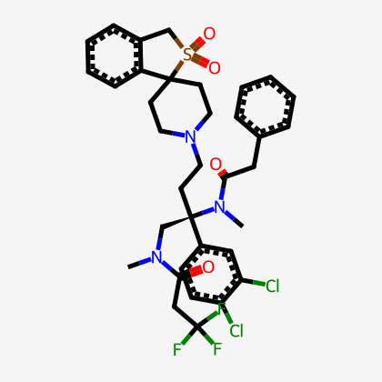 CN(C[C@](CCN1CCC2(CC1)c1ccccc1CS2(=O)=O)(c1ccc(Cl)c(Cl)c1)N(C)C(=O)Cc1ccccc1)C(=O)CC(F)(F)F